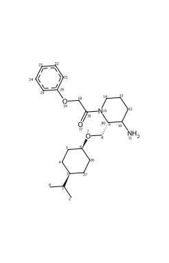 CC(C)[C@H]1CC[C@@H](OC[C@H]2C(N)CCCN2C(=O)COc2ccccc2)CC1